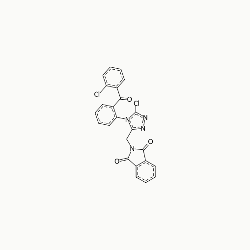 O=C(c1ccccc1Cl)c1ccccc1-n1c(Cl)nnc1CN1C(=O)c2ccccc2C1=O